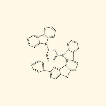 c1ccc(-c2ccc3sc4ccc5c6ccccc6n(-c6cccc(-n7c8ccccc8c8ccccc87)c6)c5c4c3c2)cc1